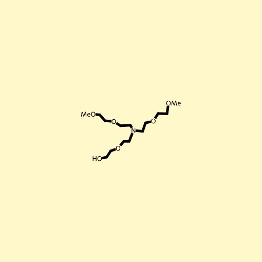 COCCOCCN(CCOCCO)CCOCCOC